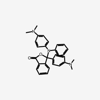 CN(C)c1ccc(N(c2ccccc2)C2(c3ccc(N(C)C)cc3)OC(=O)c3ccccc32)cc1